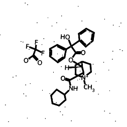 C[N+]12CCC(CC1)[C@@H](OC(=O)C(O)(c1ccccc1)c1ccccc1)C2C(=O)NC1CCCCC1.O=C([O-])C(F)(F)F